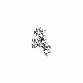 CC1(O)C[C@H]2COC[C@@H](C1)N2C[C@H]1CN(S(=O)(=O)C2=CC=CCC2=S)CCN1c1ccc([C@@](C)(O)C(F)(F)F)cc1